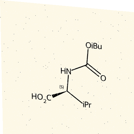 CC(C)COC(=O)N[C@H](C(=O)O)C(C)C